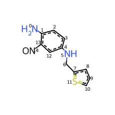 Nc1ccc(NCc2cccs2)cc1N=O